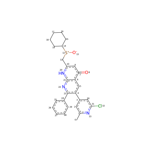 Cc1cc(-c2cc3c(=O)cc(C[S+]([O-])C4CCCCC4)[nH]c3nc2-c2ccccc2)cc(Cl)n1